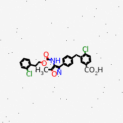 Cc1onc(-c2ccc(Cc3cc(C(=O)O)ccc3Cl)cc2)c1NC(=O)OCCc1ccccc1Cl